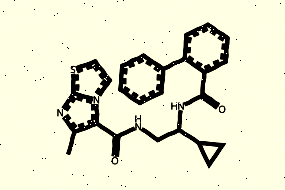 Cc1nc2sccn2c1C(=O)NCC(NC(=O)c1ccccc1-c1ccccc1)C1CC1